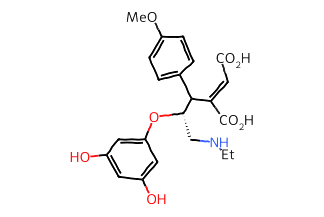 CCNC[C@H](Oc1cc(O)cc(O)c1)C(/C(=C\C(=O)O)C(=O)O)c1ccc(OC)cc1